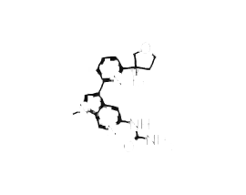 CC[C@]1(c2cccc(-c3cn(C)c4cnc(NC(N)=O)cc34)n2)CCOC1